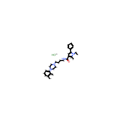 CCn1c(-c2ccccc2)cc(C(=O)NCCCCN2CCN(c3cccc(C)c3C)CC2)c1C.Cl